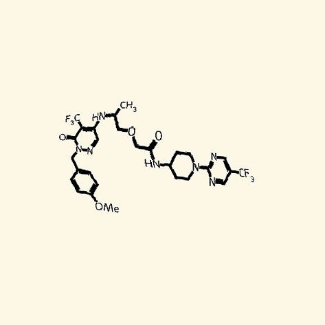 COc1ccc(Cn2ncc(NC(C)COCC(=O)NC3CCN(c4ncc(C(F)(F)F)cn4)CC3)c(C(F)(F)F)c2=O)cc1